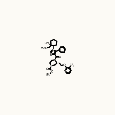 COC[C@]1(O)CCCC[C@H]1n1cnc(C(=O)N2CCN(C(=O)OC(C)(C)C)C[C@H]2CCOc2ncccc2C(F)(F)F)c1-c1ccccc1